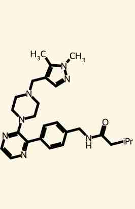 Cc1c(CN2CCN(c3nccnc3-c3ccc(CNC(=O)CC(C)C)cc3)CC2)cnn1C